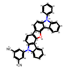 N#Cc1cc(C#N)cc(-n2c3ccccc3c3c4oc5c(ccc6c5c5ccccc5n6-c5ccccc5)c4ccc32)c1